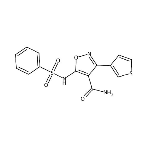 NC(=O)c1c(-c2ccsc2)noc1NS(=O)(=O)c1ccccc1